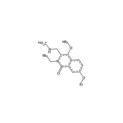 CCCCOc1c(CNC(=O)O)n(CC(C)(C)C)c(=O)c2cc(OCC)ccc12